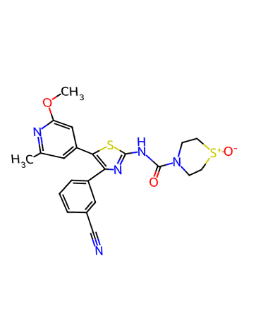 COc1cc(-c2sc(NC(=O)N3CC[S+]([O-])CC3)nc2-c2cccc(C#N)c2)cc(C)n1